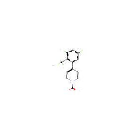 O=C(O)N1CC=C(c2cc(F)cc(F)c2C(F)(F)F)CC1